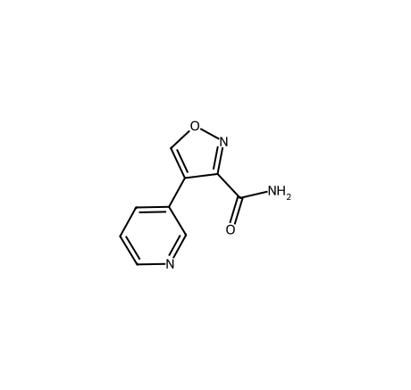 NC(=O)c1nocc1-c1cccnc1